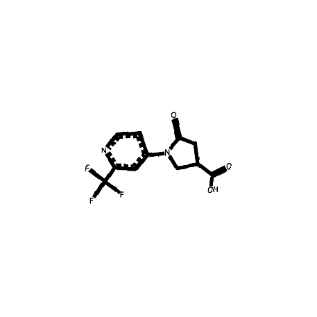 O=C(O)C1CC(=O)N(c2ccnc(C(F)(F)F)c2)C1